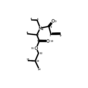 C=CC(=O)N(CC)C(C)C(=O)OCC(C)C